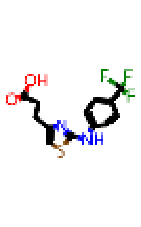 O=C(O)CCc1csc(Nc2ccc(C(F)(F)F)cc2)n1